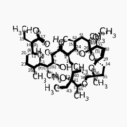 CC[C@@H](C(=O)[C@@H](C)[C@@H](O)[C@H](C)[C@@H]1O[C@@H]([C@@H](CC)C(=O)O)CC[C@@H]1C)[C@H]1O[C@@]2(O[C@]3(C=C[C@@H]2OC)CC[C@@](C)([C@H]2CC[C@](O)(CC)[C@H](C)O2)O3)[C@H](C)C[C@@H]1C